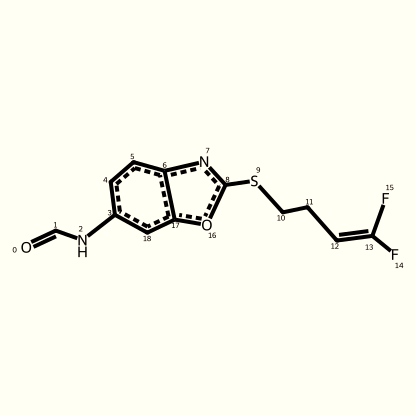 O=CNc1ccc2nc(SCCC=C(F)F)oc2c1